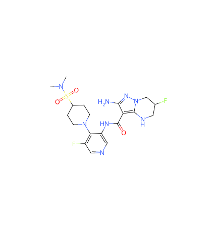 CN(C)S(=O)(=O)C1CCN(c2c(F)cncc2NC(=O)c2c(N)nn3c2NCC(F)C3)CC1